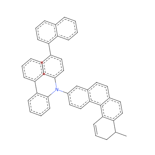 CC1CC=Cc2c1ccc1ccc3cc(N(c4ccc(-c5cccc6ccccc56)cc4)c4ccccc4-c4ccccc4)ccc3c21